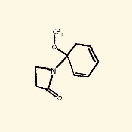 COC1(N2CCC2=O)C=CC=CC1